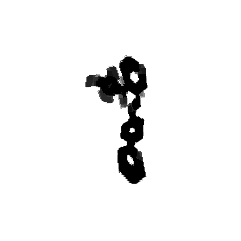 CCS(=O)(=O)N[C@H]1CCOC[C@@H]1COc1ccc(-c2ccccn2)cc1